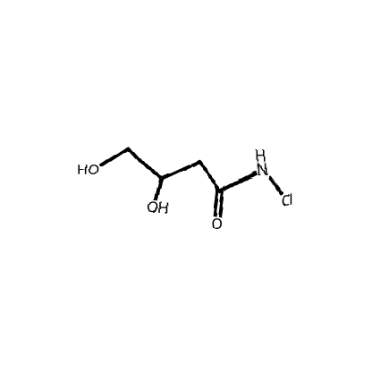 O=C(CC(O)CO)NCl